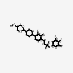 CCCC1COC(C2CCC(c3ccc(CCC(F)(F)Oc4cc(F)c(F)c(F)c4)c(F)c3F)CC2)OC1